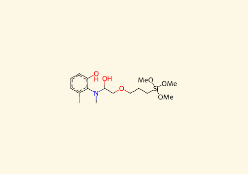 CO[Si](CCCOCC(O)N(C)c1c(C)cccc1O)(OC)OC